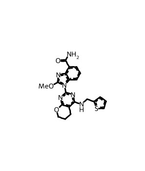 COc1nc2c(C(N)=O)cccc2n1-c1nc(NCc2cccs2)c2c(n1)OCCC2